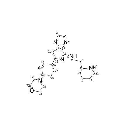 c1cnc2c(NCCC3CCCCN3)nc(-c3ccc(N4CCOCC4)cc3)cc2n1